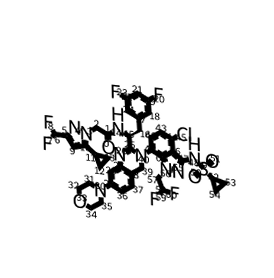 O=C(Cn1nc(C(F)F)cc1C1CC1)N[C@@H](Cc1cc(F)cc(F)c1)C1=Nc2cc(N3CCOCC3)ccc2CN1c1ccc(Cl)c2c(NS(=O)(=O)C3CC3)nn(CC(F)F)c12